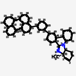 C[C@@]12C=CC=CC1N1C(=N2)c2ccc(-c3cccc(-c4ccc5c6cccc7cccc(c8cccc4c85)c76)c3)cc2-c2ccccc21